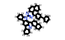 c1ccc(-c2ccc(-c3nc(-n4c5ccccc5c5cc6c7ccccc7n7c8c9ccccc9ccc8c(c54)c67)nc4ccc5ccccc5c34)cc2)cc1